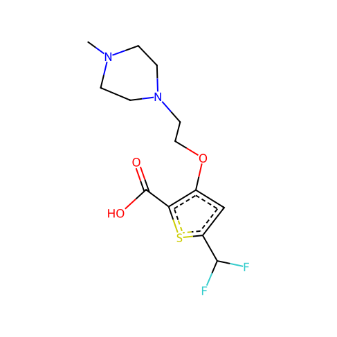 CN1CCN(CCOc2cc(C(F)F)sc2C(=O)O)CC1